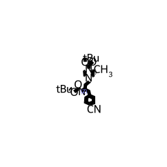 C[C@H]1CN(CC/C(Cc2ccc(C#N)cc2)=N\C(=O)OC(C)(C)C)CCN1C(=O)OC(C)(C)C